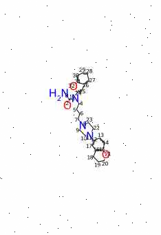 NC(=O)N(CCCCN1CCN(c2ccc3c(c2)CCCO3)CC1)c1cc2ccccc2o1